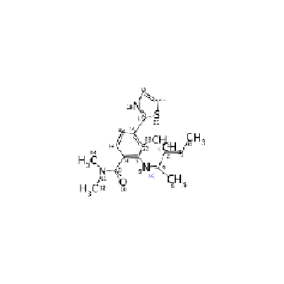 CCC(C)/C(C)=N\c1c(C(=O)N(C)C)ccc(-c2nccs2)c1C